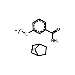 C1CC2CCC1N2.COc1cccc(C(N)=O)c1